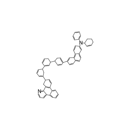 C1=CC(C2=CC(C3C=CC(c4ccc5ccc6cc(N(c7ccccc7)C7C=CCCC7)ccc6c5c4)=CC3)CC=C2)CC(C2C=Cc3c(c4ncccc4c4ccccc34)C2)=C1